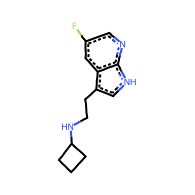 Fc1cnc2[nH]cc(CCNC3CCC3)c2c1